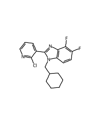 Fc1ccc2c(nc(-c3cccnc3Cl)n2CC2CCCCC2)c1F